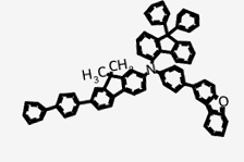 CC1(C)c2cc(-c3ccc(-c4ccccc4)cc3)ccc2-c2ccc(N(c3ccc(-c4ccc5oc6ccccc6c5c4)cc3)c3cccc4c3-c3ccccc3C4(c3ccccc3)c3ccccc3)cc21